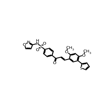 COc1cc(OC)c(-c2cccs2)cc1C=CC(=O)c1ccc(S(=O)(=O)Nc2ccon2)cc1